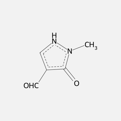 Cn1[nH]cc(C=O)c1=O